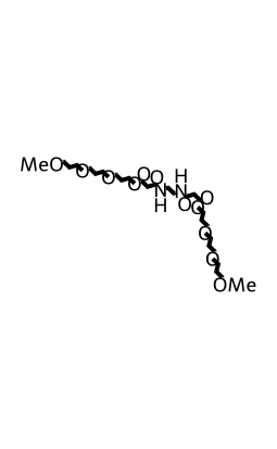 COCCCOCCCOCCCOC(=O)CC(=O)NCCNC(=O)CC(=O)OCCCOCCCOCCCOC